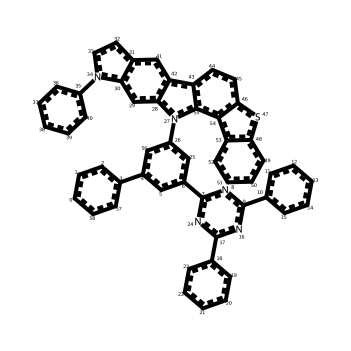 c1ccc(-c2cc(-c3nc(-c4ccccc4)nc(-c4ccccc4)n3)cc(-n3c4cc5c(ccn5-c5ccccc5)cc4c4ccc5sc6ccccc6c5c43)c2)cc1